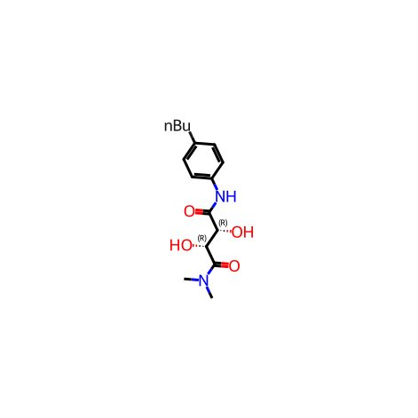 CCCCc1ccc(NC(=O)[C@H](O)[C@@H](O)C(=O)N(C)C)cc1